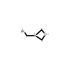 CC(C)CN1COC1